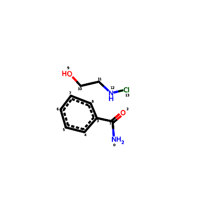 NC(=O)c1ccccc1.OCCNCl